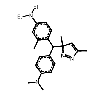 CCN(CC)c1ccc(C(c2ccc(N(C)C)cc2)C2(C)C=C(C)N=N2)c(C)c1